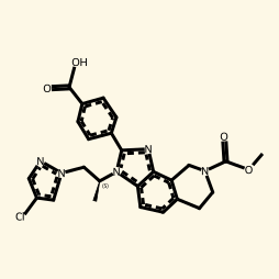 COC(=O)N1CCc2ccc3c(nc(-c4ccc(C(=O)O)cc4)n3[C@@H](C)Cn3cc(Cl)cn3)c2C1